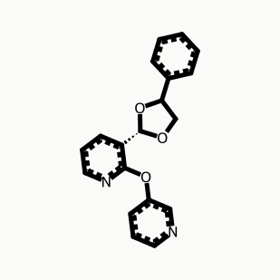 c1ccc(C2CO[C@H](c3cccnc3Oc3cccnc3)O2)cc1